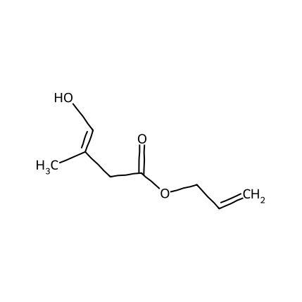 C=CCOC(=O)CC(C)=CO